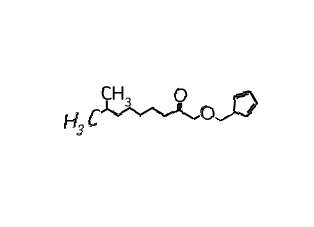 CC(C)CCCCCC(=O)COCC1C=CC=C1